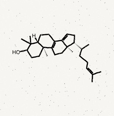 CC(C)=CCCC(C)[C@H]1CC=C2C3=C(CC[C@@]21C)[C@@]1(C)CCC(O)C(C)(C)[C@@H]1CC3